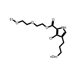 CCCCCCCCCCCCCc1c[nH]c(C(=O)OCCOCCOCC)c1Cl